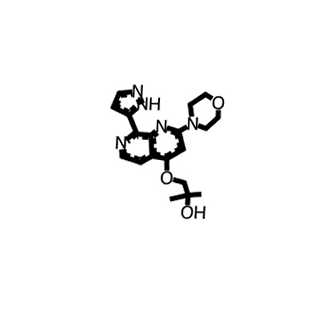 CC(C)(O)COc1cc(N2CCOCC2)nc2c(-c3ccn[nH]3)nccc12